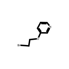 BrCCOc1cccnc1